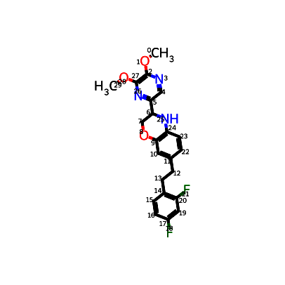 COc1ncc(C2COc3cc(CCc4ccc(F)cc4F)ccc3N2)nc1OC